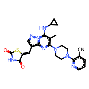 Cc1c(N2CCN(c3ncccc3C#N)CC2)nc2c(/C=C3\SC(=O)NC3=O)cnn2c1NC1CC1